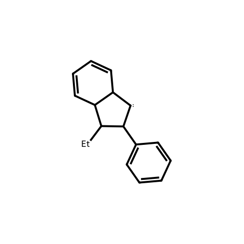 CCC1C(c2ccccc2)[C]C2C=CC=CC21